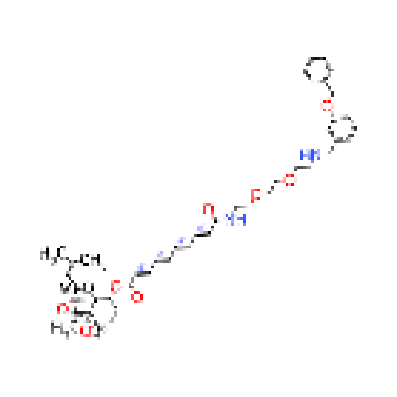 COC1C(OC(=O)/C=C/C=C/C=C/C=C/C(=O)NCCOCCOCCNCc2cccc(OCc3ccccc3)c2)CC[C@]2(CO2)[C@H]1[C@@]1(C)O[C@@H]1CC=C(C)C